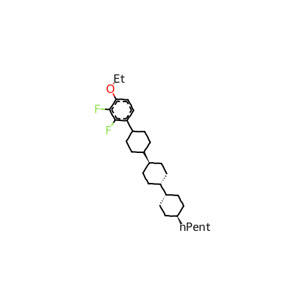 CCCCC[C@H]1CC[C@H]([C@H]2CC[C@H](C3CCC(c4ccc(OCC)c(F)c4F)CC3)CC2)CC1